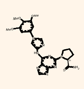 COc1cc(-n2cnc(Nc3nc(N4CCC[C@H]4C(N)=O)nc4scnc34)c2)cc(OC)c1OC